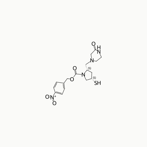 O=C1CN(C[C@@H]2C[C@H](S)CN2C(=O)OCc2ccc([N+](=O)[O-])cc2)CCN1